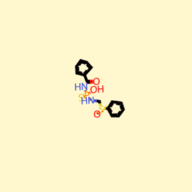 O=C(NP(O)(=S)NC[S+]([O-])c1ccccc1)c1ccccc1